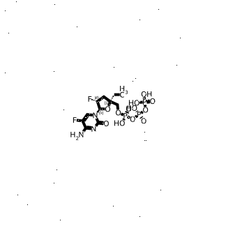 CC[C@@]1(COP(=O)(O)OP(=O)(O)OP(=O)(O)O)C[C@@H](F)[C@H](n2cc(F)c(N)nc2=O)O1